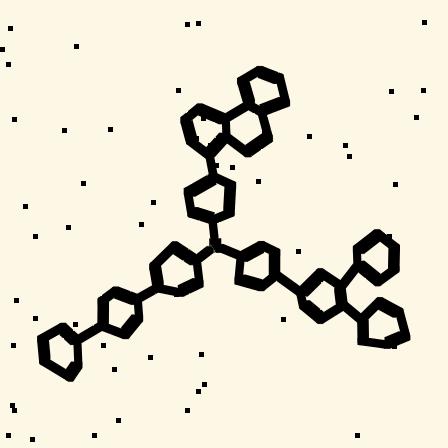 c1ccc(-c2ccc(-c3ccc(N(c4ccc(-c5ccc(-c6ccccc6)c(-c6ccccc6)c5)cc4)c4ccc(-c5cccc6c5ccc5ccccc56)cc4)cc3)cc2)cc1